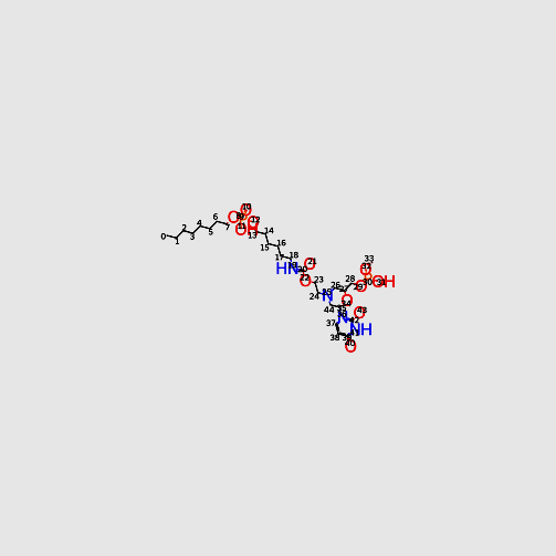 CCCCCCCCOP(=O)(O)OCCCCCCNC(=O)OCCN1C[C@@H](COP(O)OC)O[C@@H](n2ccc(=O)[nH]c2=O)C1